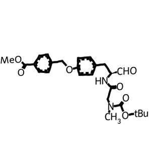 COC(=O)c1ccc(COc2ccc(C[C@@H](C=O)NC(=O)CN(C)C(=O)OC(C)(C)C)cc2)cc1